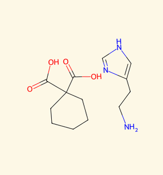 NCCc1c[nH]cn1.O=C(O)C1(C(=O)O)CCCCC1